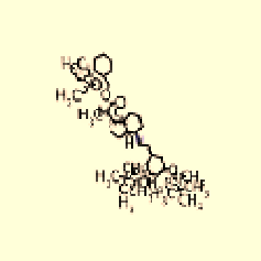 CC[Si](CC)(CC)OC1(COC(=O)[C@@H](C)[C@H]2CC[C@H]3/C(=C/C=C4C[C@@H](O[Si](C)(C)C(C)(C)C)C[C@H](O[Si](C)(C)C(C)(C)C)C4)CCC[C@]23C)CCCCC1